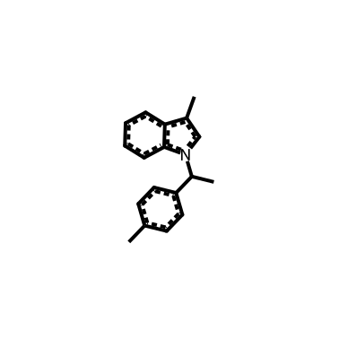 Cc1ccc(C(C)n2cc(C)c3ccccc32)cc1